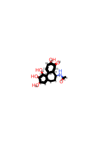 CC(=O)N[C@H]1CCc2cc(O)c(O)c(O)c2-c2ccc(O)c(=O)cc21